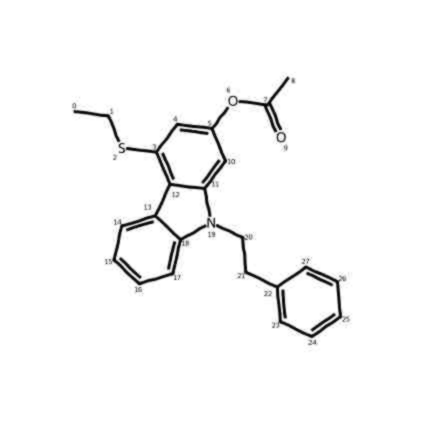 CCSc1cc(OC(C)=O)cc2c1c1ccccc1n2CCc1ccccc1